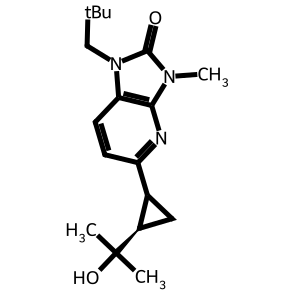 Cn1c(=O)n(CC(C)(C)C)c2ccc(C3C[C@H]3C(C)(C)O)nc21